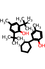 Cc1cc(C(C)(C)C)c(O)c(C(C)(C)C)c1.Cc1ccc(O)c(C2CCCCC2)c1